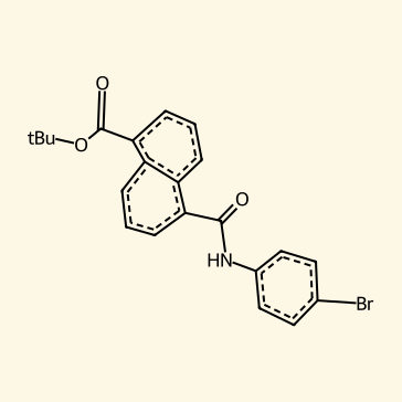 CC(C)(C)OC(=O)c1cccc2c(C(=O)Nc3ccc(Br)cc3)cccc12